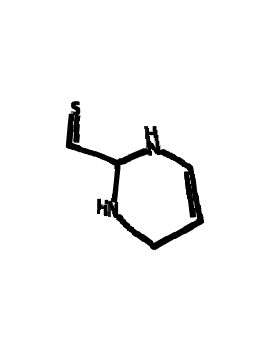 S=CC1NC=CCN1